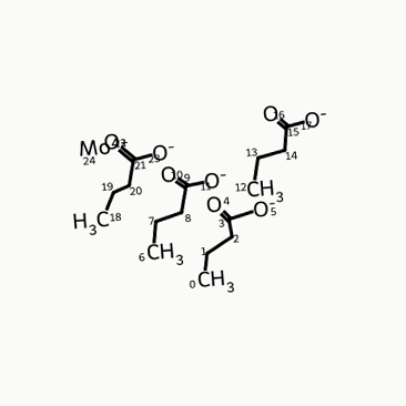 CCCC(=O)[O-].CCCC(=O)[O-].CCCC(=O)[O-].CCCC(=O)[O-].[Mo+4]